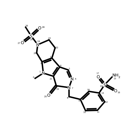 Cn1c2c(c3cnn(Cc4cccc(S(N)(=O)=O)c4)c(=O)c31)CCN(S(C)(=O)=O)C2